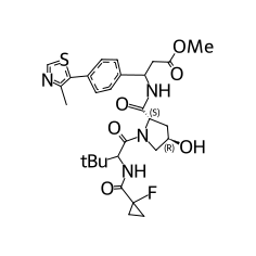 COC(=O)CC(NC(=O)[C@@H]1C[C@@H](O)CN1C(=O)C(NC(=O)C1(F)CC1)C(C)(C)C)c1ccc(-c2scnc2C)cc1